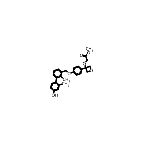 COC(=O)COC1(c2ccc(OCc3cccc(-c4ccc(O)cc4C)c3C)cc2)COC1